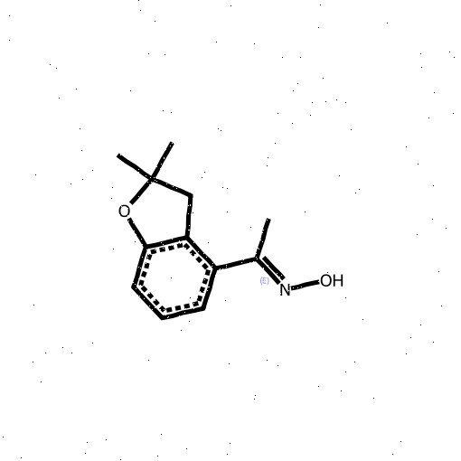 C/C(=N\O)c1cccc2c1CC(C)(C)O2